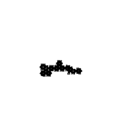 C=C(/C=C\c1ccc2ccc(-c3ccc4c5ccc(-c6ccc(C7=NC8C=CC=CC8c8c7c7ccccc7c7ccccc87)cc6)cc5c5ccccc5c4c3)nc2c1C)c1ccccc1